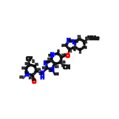 CNc1ccc2c(Oc3cnc4nc(Nc5cc(C(F)(F)F)cn(C)c5=O)n(C)c4c3C#N)cnn2c1